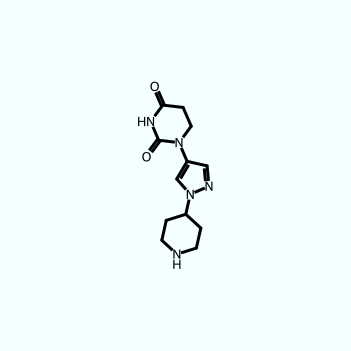 O=C1CCN(c2cnn(C3CCNCC3)c2)C(=O)N1